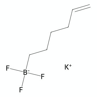 C=CCCCC[B-](F)(F)F.[K+]